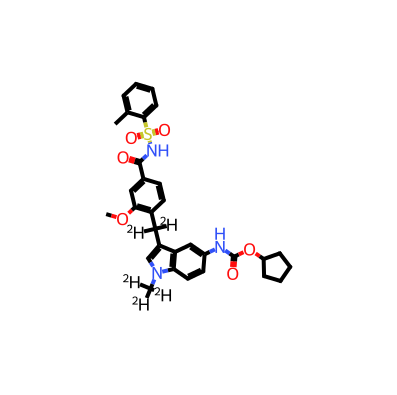 [2H]C([2H])(c1ccc(C(=O)NS(=O)(=O)c2ccccc2C)cc1OC)c1cn(C([2H])([2H])[2H])c2ccc(NC(=O)OC3CCCC3)cc12